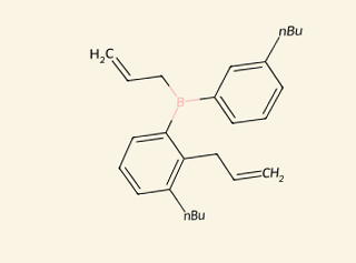 C=CCB(c1cccc(CCCC)c1)c1cccc(CCCC)c1CC=C